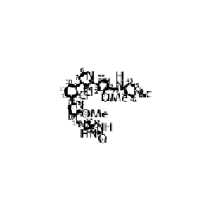 COc1cc(-c2nccc(-c3cccc(-c4ccc(CN5CC6(CNC(=O)N6)C5)c(OC)n4)c3Cl)c2Cl)ccc1CNC1CCN(C(C)=O)CC1